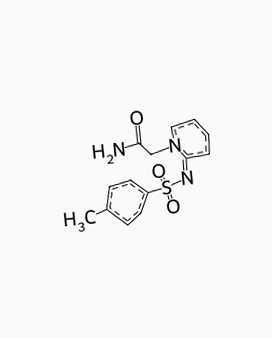 Cc1ccc(S(=O)(=O)N=c2ccccn2CC(N)=O)cc1